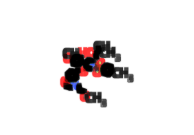 COCCCN1CCOc2ccc(CO[C@@H]3CN(S(=O)(=O)c4ccc(C)cc4)[C@@H](CC(O)C(C)C)CC3c3ccc(OC)cc3)cc21